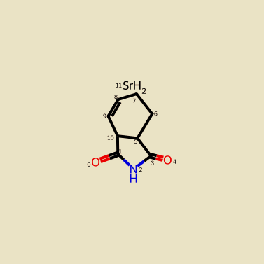 O=C1NC(=O)C2CCC=CC12.[SrH2]